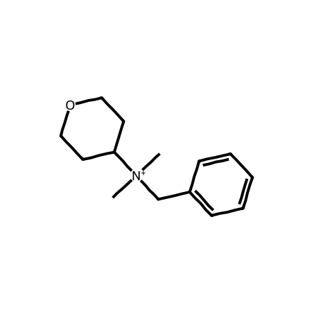 C[N+](C)(Cc1ccccc1)C1CCOCC1